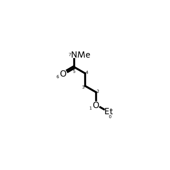 CCOCCCC(=O)NC